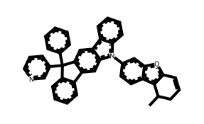 CC1CC=Cc2oc3cc(-n4c5ccccc5c5cc6c(cc54)-c4ccccc4C6(c4ccccc4)c4cccnc4)ccc3c21